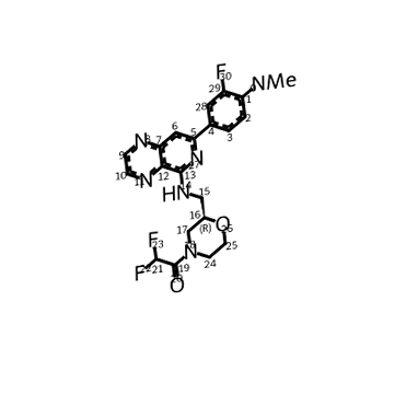 CNc1ccc(-c2cc3nccnc3c(NC[C@@H]3CN(C(=O)C(F)F)CCO3)n2)cc1F